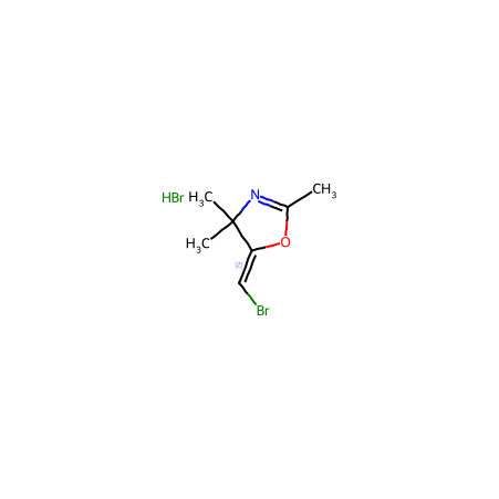 Br.CC1=NC(C)(C)/C(=C/Br)O1